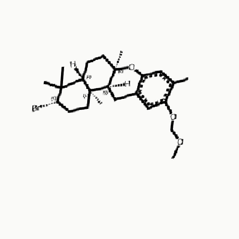 COCOc1cc2c(cc1C)O[C@]1(C)CC[C@H]3C(C)(C)[C@@H](Br)CC[C@]3(C)[C@@H]1C2